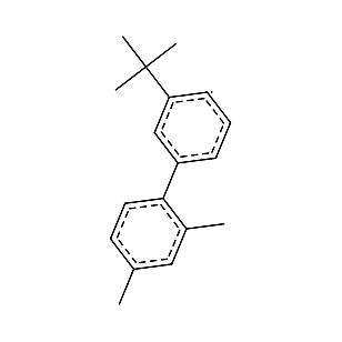 Cc1ccc(-c2cc[c]c(C(C)(C)C)c2)c(C)c1